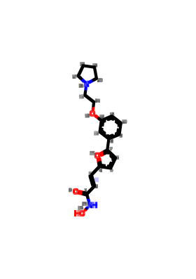 O=C(/C=C/c1ccc(-c2cccc(OCCN3CCCC3)c2)o1)NO